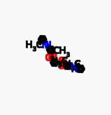 Cc1ccccc1/N=N/c1ccc(OC(=O)c2cccc(C(=O)Oc3ccc(/N=N/c4ccccc4C)cc3C)c2)c(C)c1